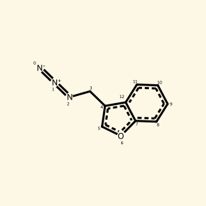 [N-]=[N+]=NCc1coc2ccccc12